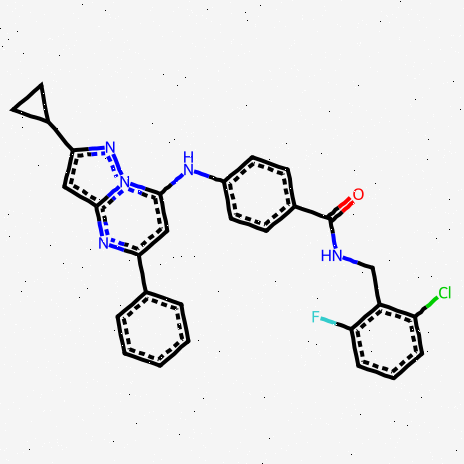 O=C(NCc1c(F)cccc1Cl)c1ccc(Nc2cc(-c3ccccc3)nc3cc(C4CC4)nn23)cc1